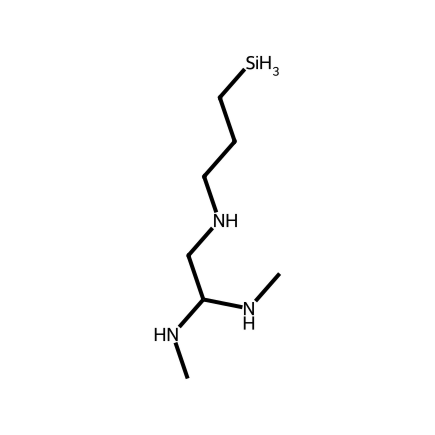 CNC(CNCCC[SiH3])NC